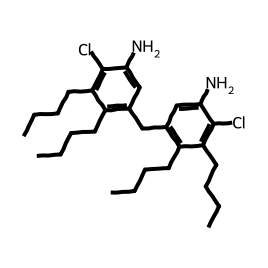 CCCCc1c(Cc2cc(N)c(Cl)c(CCCC)c2CCCC)cc(N)c(Cl)c1CCCC